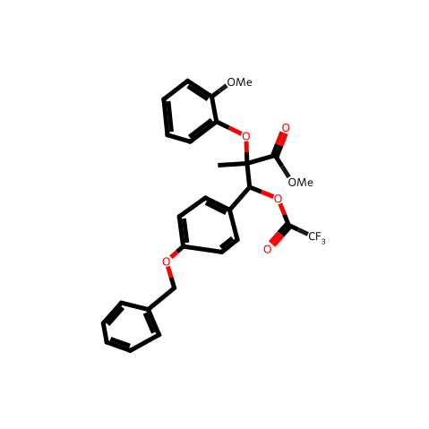 COC(=O)C(C)(Oc1ccccc1OC)C(OC(=O)C(F)(F)F)c1ccc(OCc2ccccc2)cc1